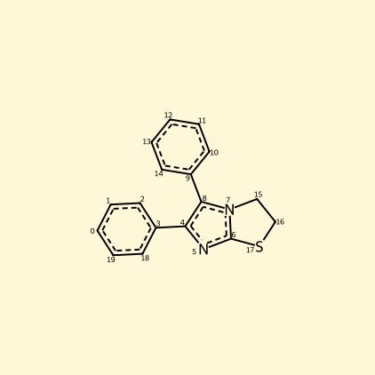 c1ccc(-c2nc3n(c2-c2ccccc2)CCS3)cc1